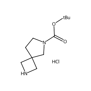 CC(C)(C)OC(=O)N1CCC2(CNC2)C1.Cl